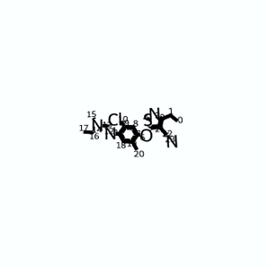 CCc1nsc(Oc2cc(Cl)c(N=CN(C)CC)cc2C)c1C#N